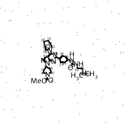 COC(=O)N1CCC(n2ncc3c(N4CC5CCC(C4)O5)nc(-c4ccc(NC(=O)NCCN(C)C)cc4)nc32)CC1